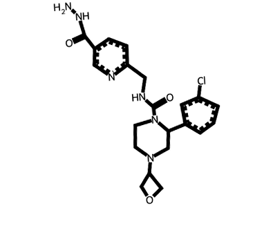 NNC(=O)c1ccc(CNC(=O)N2CCN(C3COC3)CC2c2cccc(Cl)c2)nc1